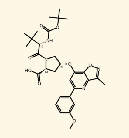 COc1cccc(-c2cc(O[C@@H]3C[C@@H](C(=O)O)N(C(=O)[C@@H](NC(=O)OC(C)(C)C)C(C)(C)C)C3)c3onc(C)c3n2)c1